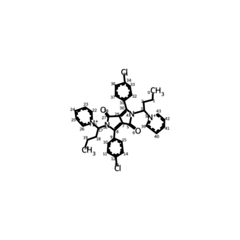 CCCC(N1C(=O)C2=C(c3ccc(Cl)cc3)N(C(CCC)[n+]3ccccc3)C(=O)C2=C1c1ccc(Cl)cc1)[n+]1ccccc1